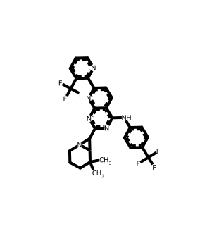 CC1(C)CCCN2C(c3nc(Nc4ccc(C(F)(F)F)cc4)c4ccc(-c5ncccc5C(F)(F)F)nc4n3)C21